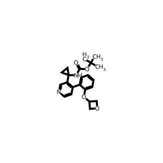 CC(C)(C)OC(=O)NC1(c2cnccc2-c2ccccc2OC2COC2)CC1